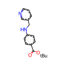 CC(C)(C)OC(=O)c1ccc(NCc2cccnc2)cc1